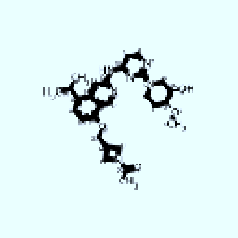 CO[C@@H]1CCN(c2nccc(Nc3cc4c(C(C)C)ccc(OCC5CN(C(C)=O)C5)c4cn3)n2)C[C@H]1O